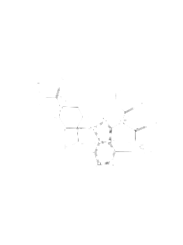 Cc1nccc2c1c(N(C(=O)OC(C)(C)C)C(=O)OC(C)(C)C)nn2C1(CC=O)CCN(C(=O)OC(C)(C)C)CC1